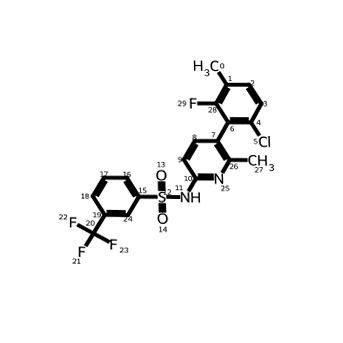 Cc1ccc(Cl)c(-c2ccc(NS(=O)(=O)c3cccc(C(F)(F)F)c3)nc2C)c1F